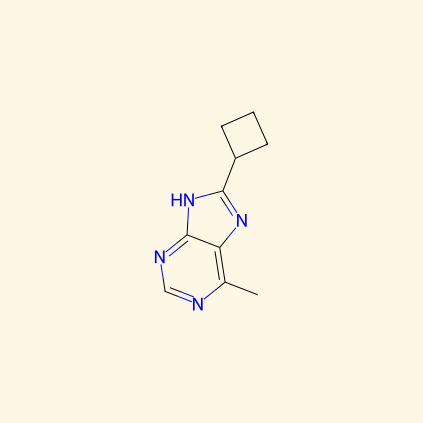 Cc1ncnc2[nH]c(C3CCC3)nc12